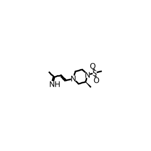 CC(=N)/C=C/N1CCN(S(C)(=O)=O)[C@@H](C)C1